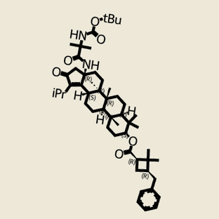 CC(C)C1=C2[C@H]3CC[C@@H]4[C@@]5(C)CC[C@H](OC(=O)[C@@H]6C[C@H](Cc7ccccc7)C6(C)C)C(C)(C)[C@@H]5CC[C@@]4(C)[C@]3(C)CC[C@@]2(NC(=O)C(C)(C)NC(=O)OC(C)(C)C)CC1=O